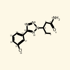 CCC(CC(N)=O)n1nnc(-c2cccc(Cl)c2)n1